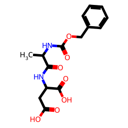 CC(NC(=O)OCc1ccccc1)C(=O)NC(CC(=O)O)C(=O)O